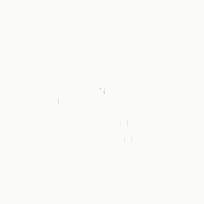 CN1CCCCC1.F.F.F